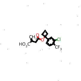 C=C(CC(=O)OC1(c2ccc(C(F)(F)F)c(Cl)c2)CCC1)C(=O)O